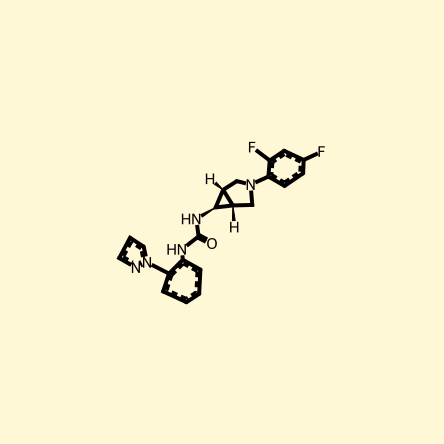 O=C(Nc1ccccc1-n1cccn1)N[C@H]1[C@@H]2CN(c3ccc(F)cc3F)C[C@@H]21